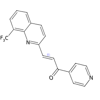 O=C(/C=C/c1ccc2cccc(C(F)(F)F)c2n1)c1ccncc1